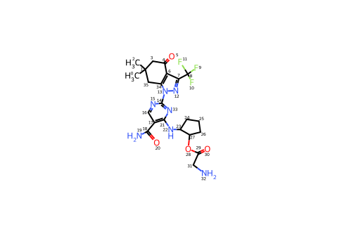 CC1(C)CC(=O)c2c(C(F)(F)F)nn(-c3ncc(C(N)=O)c(NC4CCCC4OC(=O)CN)n3)c2C1